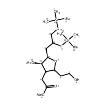 COC(=O)CC1C(CCO)O[C@H](CC(CO[Si](C)(C)C(C)(C)C)O[Si](C)(C)C(C)(C)C)[C@@H]1OC